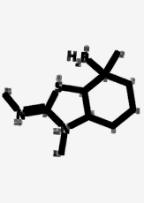 BC1(C)CCCC2C1S/C(=N\C)N2C